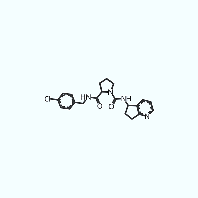 O=C(NCc1ccc(Cl)cc1)C1CCCN1C(=O)NC1CCc2ncccc21